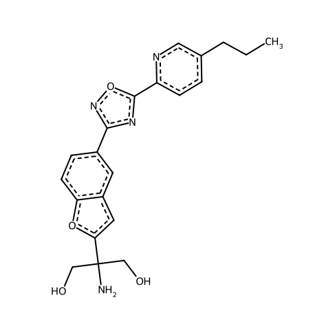 CCCc1ccc(-c2nc(-c3ccc4oc(C(N)(CO)CO)cc4c3)no2)nc1